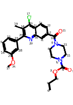 CCCOC(=O)N1CCN(C(=O)c2ccc3c(Cl)c(C)c(-c4cccc(OC)c4)nc3c2)CC1